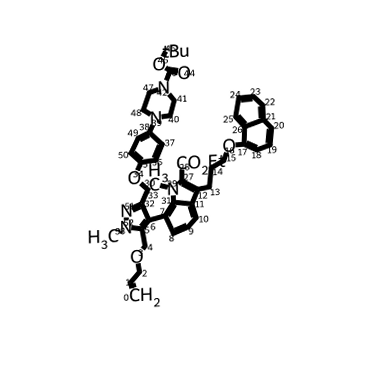 C=CCOCc1c(-c2cccc3c(CCCOc4cccc5ccccc45)c(C(=O)OCC)n(C)c23)c(COc2ccc(N3CCN(C(=O)OC(C)(C)C)CC3)cc2)nn1C